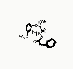 CON(C(=O)NOC(=O)Cc1ccccc1)c1cccc(C)c1